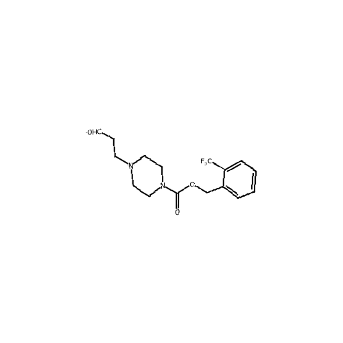 O=[C]CCN1CCN(C(=O)OCc2ccccc2C(F)(F)F)CC1